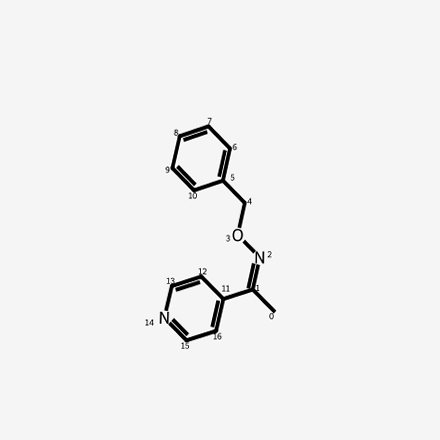 CC(=NOCc1ccccc1)c1ccncc1